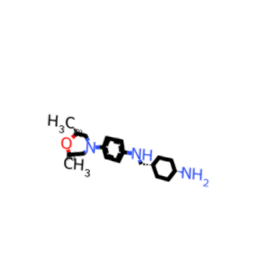 C[C@@H]1CN(c2ccc(NC[C@H]3CC[C@@H](N)CC3)cc2)C[C@H](C)O1